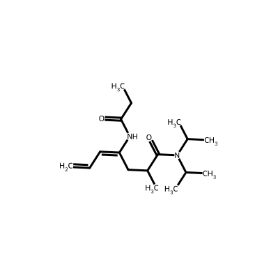 C=C/C=C(\CC(C)C(=O)N(C(C)C)C(C)C)NC(=O)CC